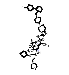 C=C(/C(=C\C=C(/C)S(=O)(=O)Nc1nnc2n1CCN(C1CCN(Cc3ccccc3-c3ccc(Cl)cc3)CC1)CC2)N[C@H](CCN1CCOCC1)CSc1ccccc1)S(=O)(=O)C(F)(F)F